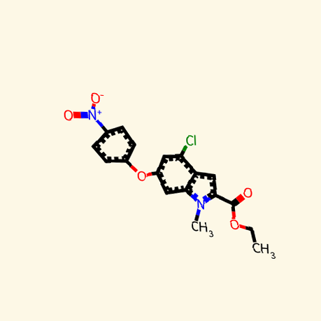 CCOC(=O)c1cc2c(Cl)cc(Oc3ccc([N+](=O)[O-])cc3)cc2n1C